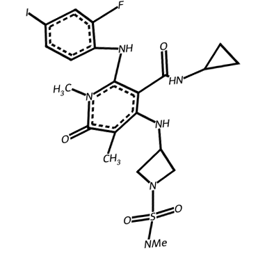 CNS(=O)(=O)N1CC(Nc2c(C(=O)NC3CC3)c(Nc3ccc(I)cc3F)n(C)c(=O)c2C)C1